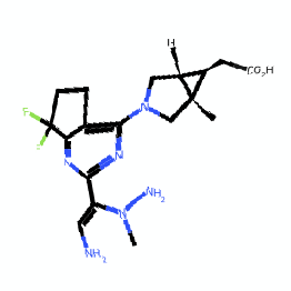 CN(N)/C(=C\N)c1nc(N2C[C@@H]3[C@@H](CC(=O)O)[C@]3(C)C2)c2c(n1)C(F)(F)CC2